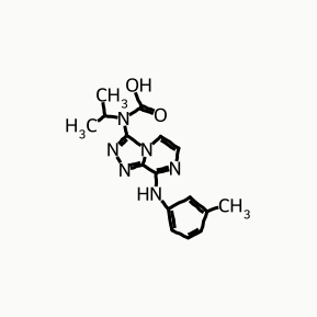 Cc1cccc(Nc2nccn3c(N(C(=O)O)C(C)C)nnc23)c1